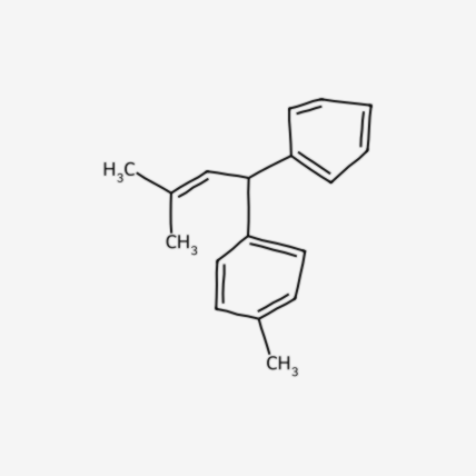 CC(C)=CC(c1ccccc1)c1ccc(C)cc1